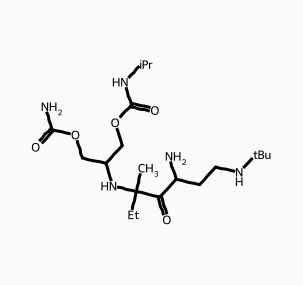 CCC(C)(NC(COC(N)=O)COC(=O)NC(C)C)C(=O)C(N)CCNC(C)(C)C